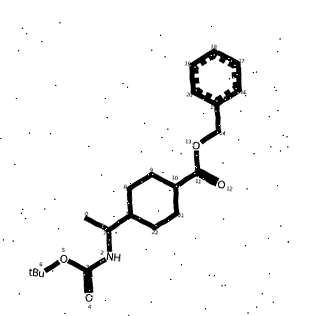 CC(NC(=O)OC(C)(C)C)C1CCC(C(=O)OCc2ccccc2)CC1